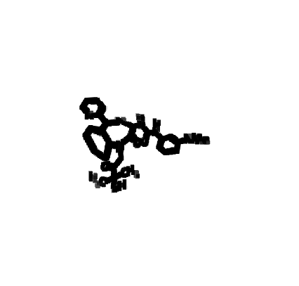 CNc1cccc(NC(=O)NC2N=C(c3ccccn3)c3ccccc3N(CC(=O)C(C)(C)S)C2=O)c1